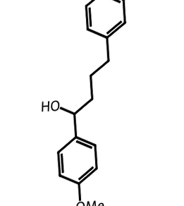 COc1ccc(C(O)CCCc2ccccc2)cc1